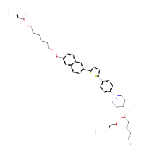 C=CC(=O)OCCCCCCOC(=O)c1ccc2cc(-c3ccc(-c4ccc(N5CCC(OC(CCCCC)OC(=O)C=C)CC5)cc4)s3)ccc2c1